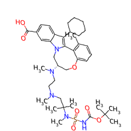 Cc1cccc2c1-c1c(C3CCCCC3)c3ccc(C(=O)O)cc3n1C[C@@H](N(C)CCN(C)CC(C)(C)N(C)S(=O)(=O)NC(=O)OC(C)(C)C)CO2